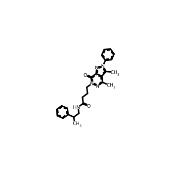 Cc1nn(CCCC(=O)NCC(C)c2ccccc2)c(=O)c2nn(-c3ccccc3)c(C)c12